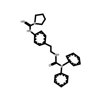 N=C(Nc1ccc(CCNC(=O)N(c2ccccc2)c2ccccc2)cc1)N1CCCC1